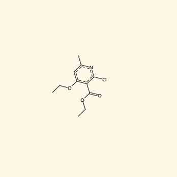 CCOC(=O)c1c(OCC)cc(C)nc1Cl